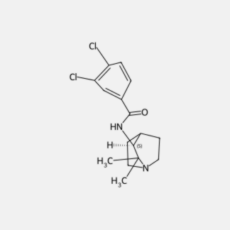 CC1(C)[C@@H](NC(=O)c2ccc(Cl)c(Cl)c2)C2CCN1CC2